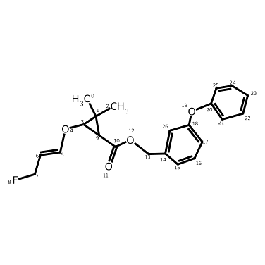 CC1(C)C(OC=CCF)C1C(=O)OCc1cccc(Oc2ccccc2)c1